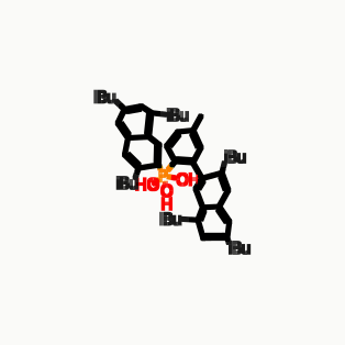 CCC(C)c1cc(C(C)CC)c2cc(-c3cc(C)ccc3P(O)(O)(O)c3cc4c(C(C)CC)cc(C(C)CC)cc4cc3C(C)CC)c(C(C)CC)cc2c1